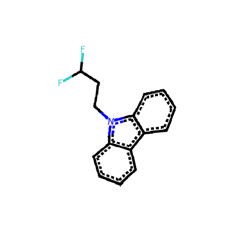 FC(F)CCn1c2cc[c]cc2c2ccccc21